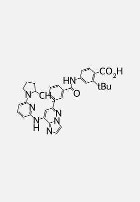 CC1CCCN1c1cccc(Nc2cc(-c3cccc(C(=O)Nc4ccc(C(=O)O)c(C(C)(C)C)c4)c3)nn3ccnc23)n1